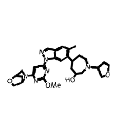 COc1nc(N2CC3CC2CO3)cc(-n2ncc3cc(C)c(C4CCN(C5CCOC5)CC(O)C4)cc32)n1